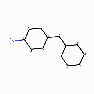 NC1CCC(CC2CCCCC2)CC1